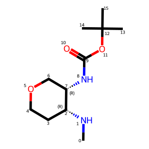 CN[C@@H]1CCOC[C@@H]1NC(=O)OC(C)(C)C